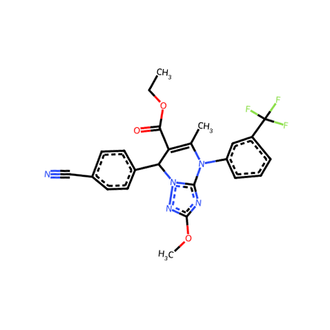 CCOC(=O)C1=C(C)N(c2cccc(C(F)(F)F)c2)c2nc(OC)nn2C1c1ccc(C#N)cc1